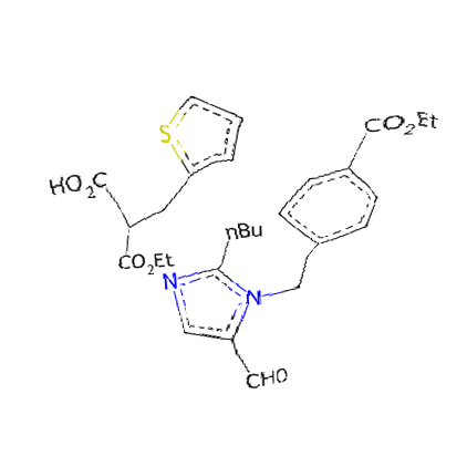 CCCCc1ncc(C=O)n1Cc1ccc(C(=O)OCC)cc1.CCOC(=O)C(Cc1cccs1)C(=O)O